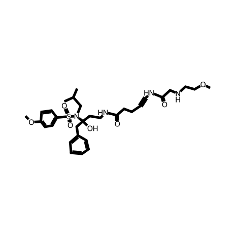 COCCNCC(=O)NC#CCCC(=O)NCCC(O)(Cc1ccccc1)N(CC(C)C)S(=O)(=O)c1ccc(OC)cc1